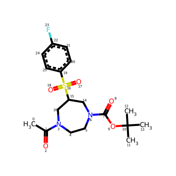 CC(=O)N1CCN(C(=O)OC(C)(C)C)CC(S(=O)(=O)c2ccc(F)cc2)C1